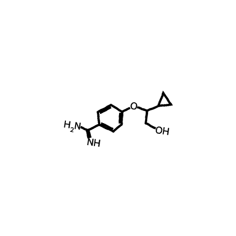 N=C(N)c1ccc(OC(CO)C2CC2)cc1